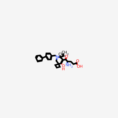 C=CC1(C)C(C(=O)C(N)CCC(=O)O)=C(O)C2(CCC2)CN1Cc1ccc(-c2cc#ccc2)cc1